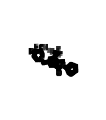 C[C@@H]1CN(Cc2cc3c(c(C(F)(F)F)c2)CN(c2ccccc2)C3=O)CCC1(F)F